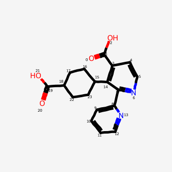 O=C(O)c1ccnc(-c2ccccn2)c1C1CCC(C(=O)O)CC1